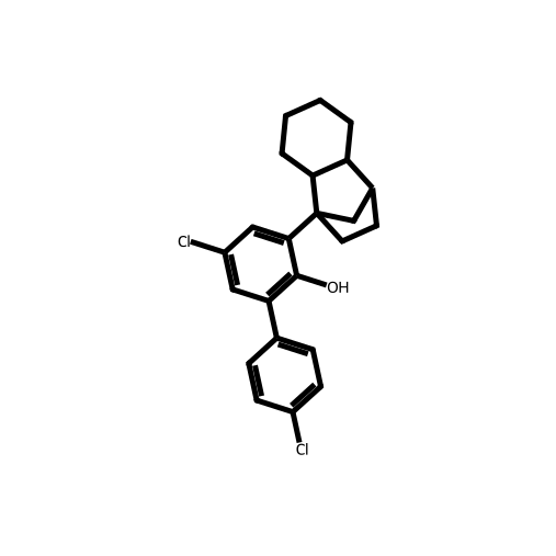 Oc1c(-c2ccc(Cl)cc2)cc(Cl)cc1C12CCC(C1)C1CCCCC12